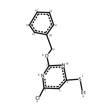 CCSc1cc(Cl)nc(OCc2ccccc2)n1